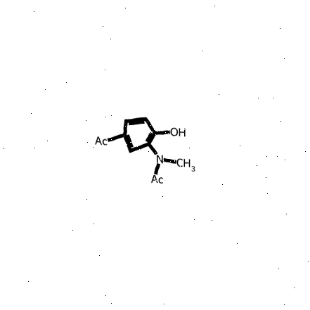 CC(=O)c1ccc(O)c(N(C)C(C)=O)c1